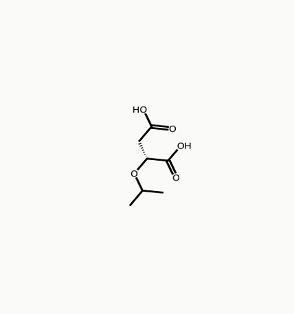 CC(C)O[C@H](CC(=O)O)C(=O)O